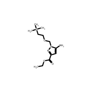 CCOC(=O)c1cc(N)n(COCCS(C)(C)C)n1